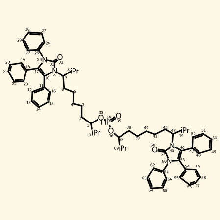 CC(C)C(CCCCCC(C(C)C)n1c(-c2ccccc2)c(-c2ccccc2)n(-c2ccccc2)c1=O)O[PH](=O)OC(CCCCCC(C(C)C)n1c(-c2ccccc2)c(-c2ccccc2)n(-c2ccccc2)c1=O)C(C)C